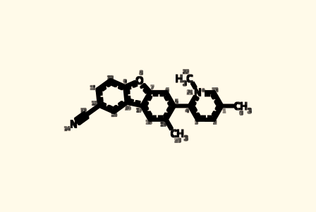 Cc1ccc(-c2cc3oc4ccc(C#N)cc4c3cc2C)[n+](C)c1